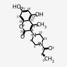 C=CC(=O)N1CCN(c2c(C)c3c(O)cc(O)cc3oc2=O)CC1